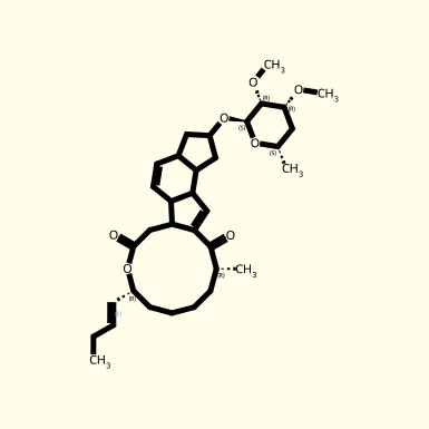 CC/C=C/[C@H]1CCCC[C@@H](C)C(=O)C2=CC3C(C=CC4CC(O[C@@H]5O[C@@H](C)C[C@@H](OC)[C@H]5OC)CC43)C2CC(=O)O1